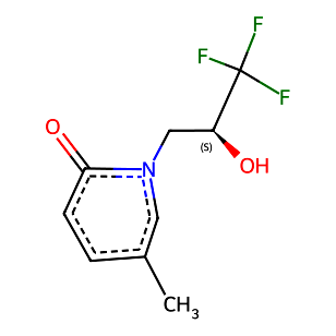 Cc1ccc(=O)n(C[C@H](O)C(F)(F)F)c1